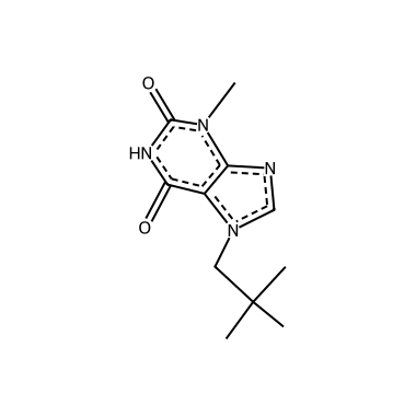 Cn1c(=O)[nH]c(=O)c2c1ncn2CC(C)(C)C